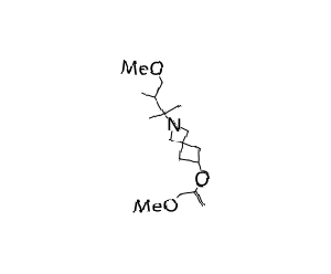 C=C(COC)OC1CC2(C1)CN(C(C)(C)C(C)COC)C2